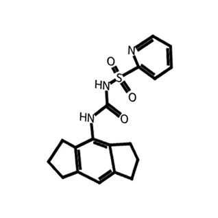 O=C(Nc1c2c(cc3c1CCC3)CCC2)NS(=O)(=O)c1ccccn1